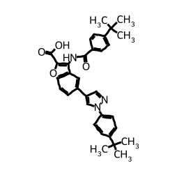 CC(C)(C)c1ccc(C(=O)Nc2c(C(=O)O)oc3ccc(-c4cnn(-c5ccc(C(C)(C)C)cc5)c4)cc23)cc1